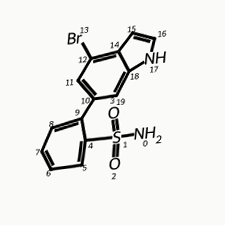 NS(=O)(=O)c1ccccc1-c1cc(Br)c2cc[nH]c2c1